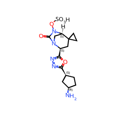 N[C@@H]1CC[C@H](c2nnc([C@@H]3CC4(CC4)[C@H]4CN3C(=O)N4OS(=O)(=O)O)o2)C1